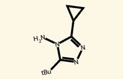 CC(C)(C)c1nnc(C2CC2)n1N